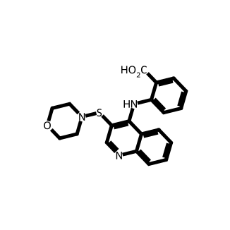 O=C(O)c1ccccc1Nc1c(SN2CCOCC2)cnc2ccccc12